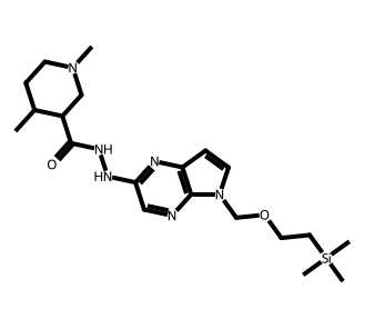 CC1CCN(C)CC1C(=O)NNc1cnc2c(ccn2COCC[Si](C)(C)C)n1